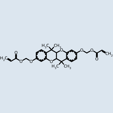 C=CC(=O)OCOc1ccc2c(c1)OC1C(Oc3cc(OCOC(=O)C=C)ccc3C1(C)C)C2(C)C